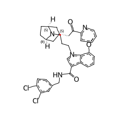 COc1cccc2c(C(=O)NCc3ccc(Cl)c(Cl)c3)cn(CCCN3[C@@H]4CC[C@H]3C[C@H](CC(=O)c3ccccn3)C4)c12